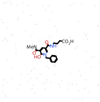 CNC(=O)C1=CC(C(=O)NCCCC(=O)O)=CN(Cc2ccccc2)C1O